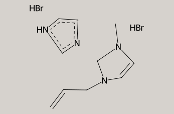 Br.Br.C=CCN1C=CN(C)C1.c1c[nH]cn1